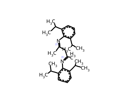 C/C(C/C(C)=N/c1c(C(C)C)cccc1C(C)C)=N/c1c(C(C)C)cccc1C(C)C